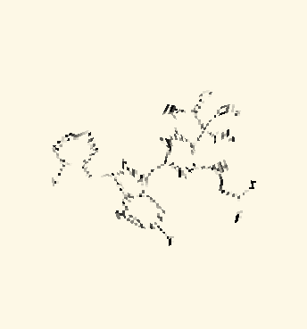 CC1(C)C(=O)Nc2nc(-c3nn(Cc4ccccc4F)c4ncc(F)cc34)nc(NCC(F)F)c21